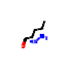 CCCCC=O.NN